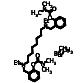 CBr.CBr.CCN(CCCCCCCCN(CC)Cc1ccccc1OC(=O)N(C)C)Cc1ccccc1OC(=O)N(C)C